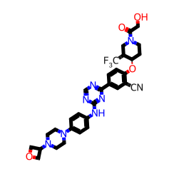 N#Cc1cc(-c2ncnc(Nc3ccc(N4CCN(C5COC5)CC4)cc3)n2)ccc1O[C@H]1CCN(C(=O)CO)CC1C(F)(F)F